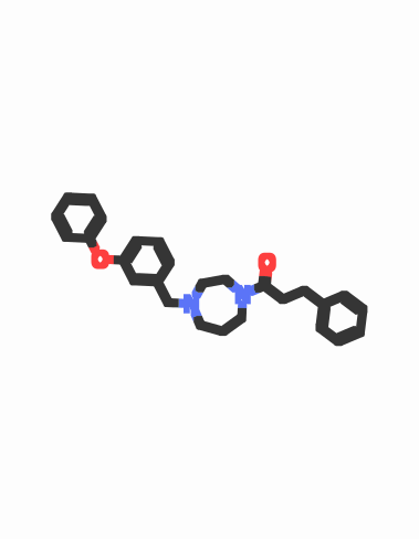 O=C(CCc1ccccc1)N1CCCN(Cc2cccc(Oc3ccccc3)c2)CC1